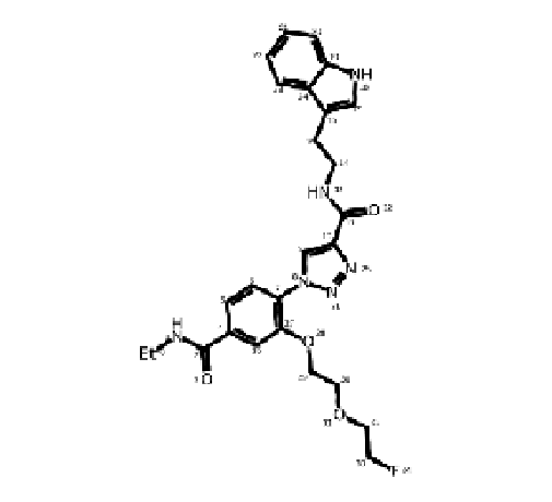 CCNC(=O)c1ccc(-n2cc(C(=O)NCCc3c[nH]c4ccccc34)nn2)c(OCCOCCF)c1